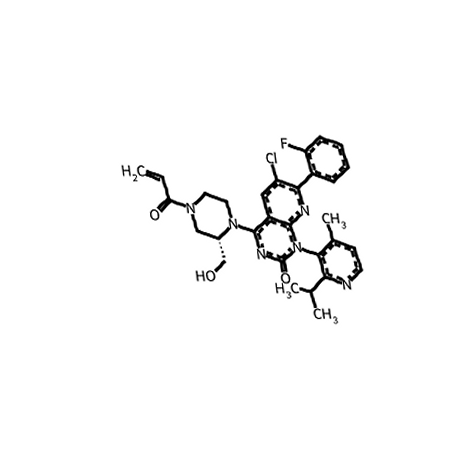 C=CC(=O)N1CCN(c2nc(=O)n(-c3c(C)ccnc3C(C)C)c3nc(-c4ccccc4F)c(Cl)cc23)[C@H](CO)C1